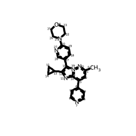 Cc1cc(-c2ccncc2)c2nc(C3CC3)c(-c3ccc(N4CCOCC4)nc3)n2n1